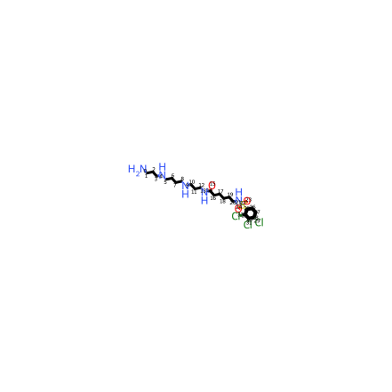 NCCCNCCCCNCCCNC(=O)CCCCCNS(=O)(=O)c1ccc(Cl)c(Cl)c1Cl